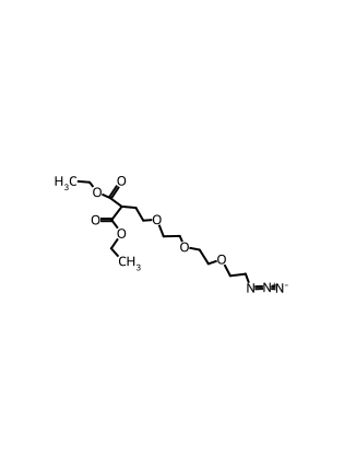 CCOC(=O)C(CCOCCOCCOCCN=[N+]=[N-])C(=O)OCC